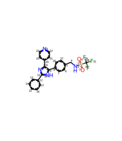 O=S(=O)(NCc1ccc(-c2[nH]c(-c3ccccc3)nc2-c2ccncc2)cc1)C(F)(F)F